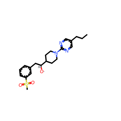 CCCc1cnc(N2CCC([C@@H]([O])Cc3cccc(S(C)(=O)=O)c3)CC2)nc1